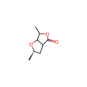 CC1OC(=O)C2C[C@@H](C)OC12